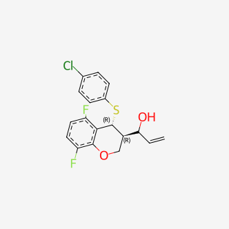 C=CC(O)[C@H]1COc2c(F)ccc(F)c2[C@@H]1Sc1ccc(Cl)cc1